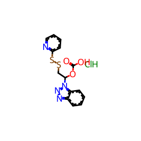 Cl.O=C(O)OC(CSSc1ccccn1)n1nnc2ccccc21